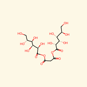 O=C(CC(=O)OC(=O)[C@H](O)[C@@H](O)[C@H](O)[C@H](O)CO)OC(=O)[C@H](O)[C@@H](O)[C@H](O)[C@H](O)CO